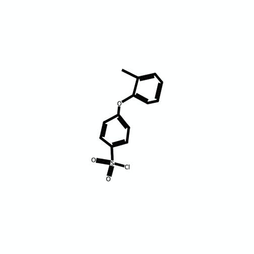 Cc1ccccc1Oc1ccc(S(=O)(=O)Cl)cc1